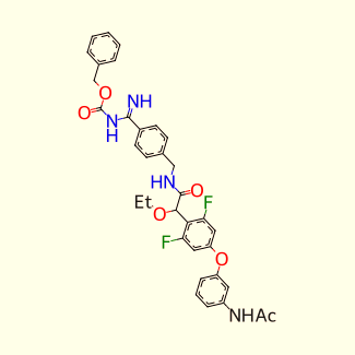 CCOC(C(=O)NCc1ccc(C(=N)NC(=O)OCc2ccccc2)cc1)c1c(F)cc(Oc2cccc(NC(C)=O)c2)cc1F